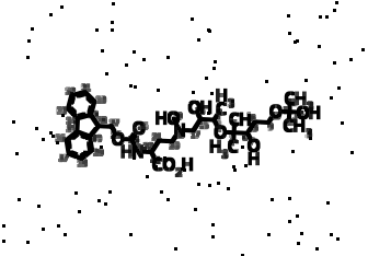 CC(OC(C)(C)C(O)CCOC(C)(C)O)C(O)CN(O)CCC(NC(=O)OCC1c2ccccc2-c2ccccc21)C(=O)O